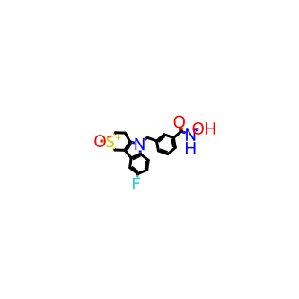 O=C(NO)c1cccc(Cn2c3c(c4cc(F)ccc42)C[S+]([O-])CC3)c1